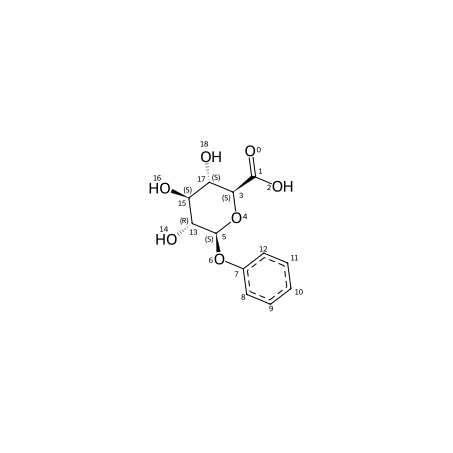 O=C(O)[C@H]1O[C@@H](Oc2ccccc2)[C@H](O)[C@@H](O)[C@@H]1O